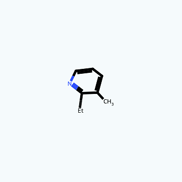 CCc1ncccc1C